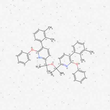 Cc1cccc(-c2ccc(C(C)([SiH3])OC(C)([SiH3])c3ccc(-c4cccc(C)c4C)c(Oc4ccccc4)n3)nc2Oc2ccccc2)c1C